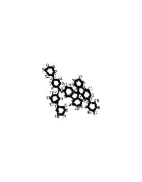 c1ccc(-c2ccc(N(c3cccc(-c4ccccc4)c3)c3ccc4c(c3)-c3ccccc3C43c4ccccc4-c4ccc(-c5ccccc5)cc43)cc2)cc1